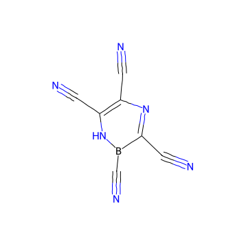 N#CB1NC(C#N)=C(C#N)N=C1C#N